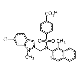 Cc1c(N(Cc2cc3ccc(Cl)cc3n2C)S(=O)(=O)c2ccc(C(=O)O)cc2)ncc2ccccc12